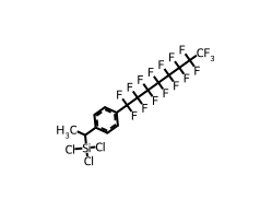 CC(c1ccc(C(F)(F)C(F)(F)C(F)(F)C(F)(F)C(F)(F)C(F)(F)C(F)(F)C(F)(F)F)cc1)[Si](Cl)(Cl)Cl